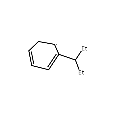 CCC(CC)C1=CC=CC[CH]1